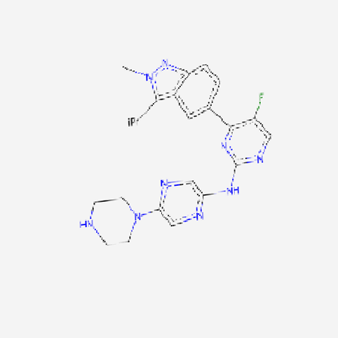 CC(C)c1c2cc(-c3nc(Nc4cnc(N5CCNCC5)cn4)ncc3F)ccc2nn1C